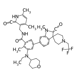 CCN(c1cc(-c2ccc3c(c2)N(C)C(=C=O)C32CCN(CC(F)(F)F)CC2)cc(C(=O)NCC2=C(C)C=C(C)NC2=C=O)c1C)C1CCOCC1